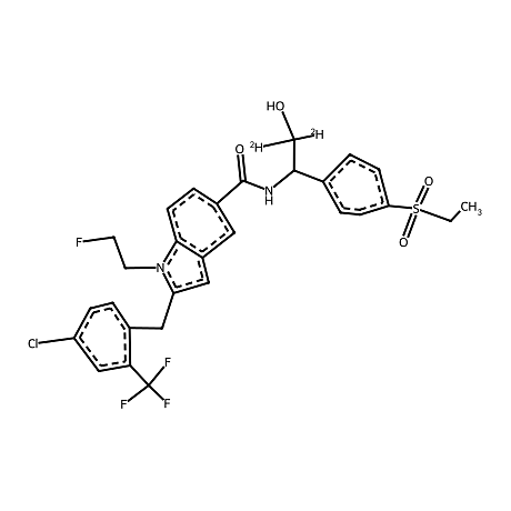 [2H]C([2H])(O)C(NC(=O)c1ccc2c(c1)cc(Cc1ccc(Cl)cc1C(F)(F)F)n2CCF)c1ccc(S(=O)(=O)CC)cc1